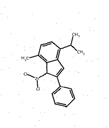 Cc1ccc(C(C)C)c2c1[CH]([Zr]([Cl])[Cl])C(c1ccccc1)=C2